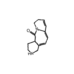 O=C1C2CCNCC2=CC=C2C=CCCN12